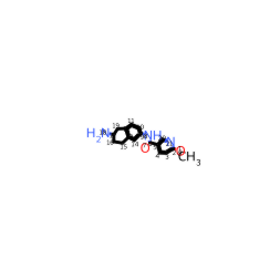 COc1ccc(C(=O)Nc2ccc3c(c2)CCC(N)C3)cn1